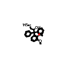 COc1cccc(C(c2ccccc2)(c2ccccc2)C(O)CSS)c1OC